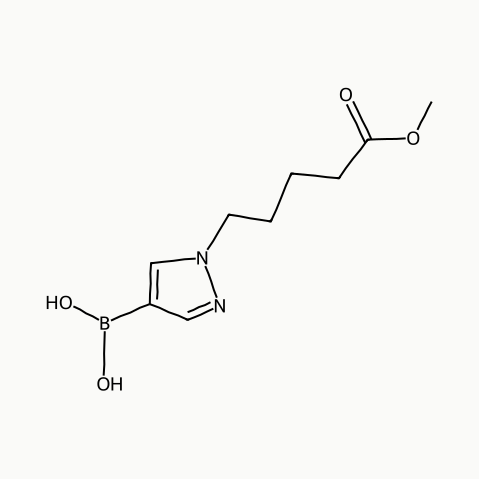 COC(=O)CCCCn1cc(B(O)O)cn1